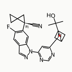 CC(C)(O)C12CC(C1)N(c1cc(-n3ncc4cc(F)c([C@@]5(C#N)CC56CC6)cc43)ncn1)C2